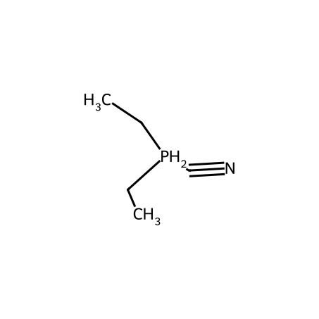 CC[PH2](C#N)CC